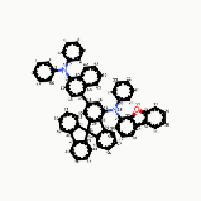 c1ccc(N(c2ccccc2)c2ccc(-c3cc(N(c4ccccc4)c4cccc5c4oc4ccccc45)c4c(c3)C3(c5ccccc5-c5ccccc53)c3ccccc3-4)c3ccccc23)cc1